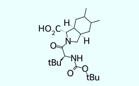 CC1C[C@H]2CN(C(=O)[C@@H](NC(=O)OC(C)(C)C)C(C)(C)C)[C@H](C(=O)O)[C@H]2CC1C